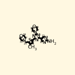 Cc1cc(-c2nc(-c3cnc(N)nc3)nc(N3CCOCC3)n2)sc1CN1CCOCC1